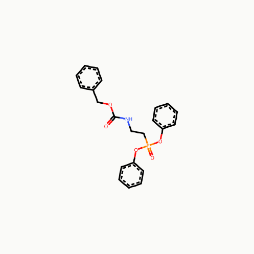 O=C(NCCP(=O)(Oc1ccccc1)Oc1ccccc1)OCc1ccccc1